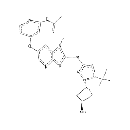 CC(=O)Nc1cc(Oc2cnc3nc(Nc4cc(C(C)(C)C)n([C@H]5C[C@H](O)C5)n4)n(C)c3c2)ccn1